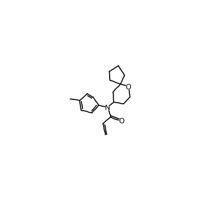 C=CC(=O)N(c1ccc(C)cc1)C1CCOC2(CCCC2)C1